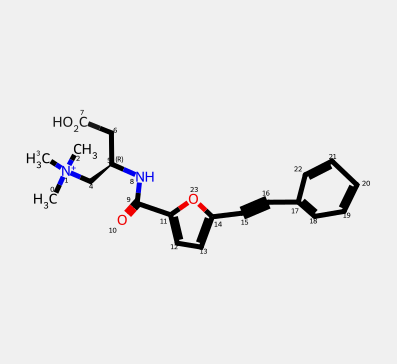 C[N+](C)(C)C[C@@H](CC(=O)O)NC(=O)c1ccc(C#Cc2ccccc2)o1